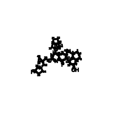 C#Cc1cccc2cc(O)cc(-c3c(F)cc4c(N5CC6CC[C@@](C)(C5)N6)nc(OCC5(CN6CC[C@@H](F)C6)CC5)nc4c3F)c12